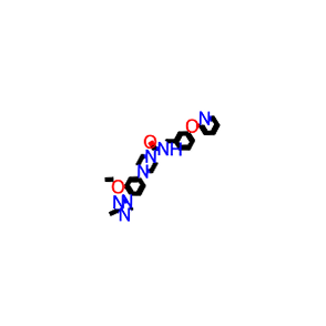 CCOc1cc(N2CCN(C(=O)NCc3cccc(Oc4ccccn4)c3)CC2)ccc1-n1cnc(C)n1